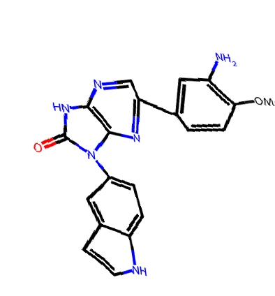 COc1ccc(-c2cnc3[nH]c(=O)n(-c4ccc5[nH]ccc5c4)c3n2)cc1N